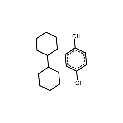 C1CCC(C2CCCCC2)CC1.Oc1ccc(O)cc1